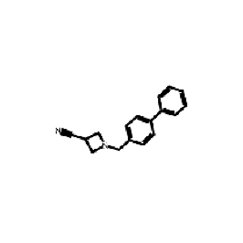 N#CC1CN(Cc2ccc(-c3ccccc3)cc2)C1